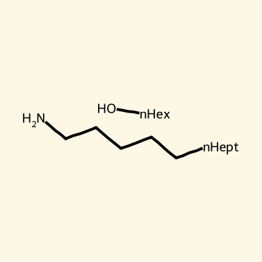 CCCCCCCCCCCCN.CCCCCCO